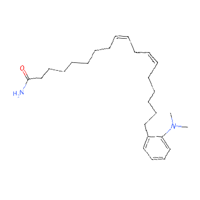 CN(C)c1ccccc1CCCCC/C=C\C/C=C\CCCCCCCC(N)=O